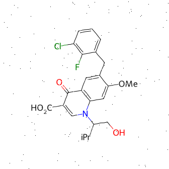 COc1cc2c(cc1Cc1cccc(Cl)c1F)c(=O)c(C(=O)O)cn2C(CO)C(C)C